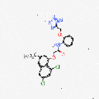 O=C(COc1cc(C(=O)O)cc2cc(Cl)cc(Cl)c12)Nc1ccccc1OCc1nnn[nH]1